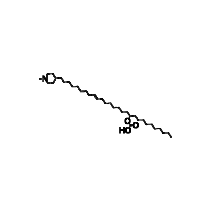 CCCCCCCCCCC(CCCCCCCC=CCC=CCCCCCC1CCN(C)CC1)OC(=O)O